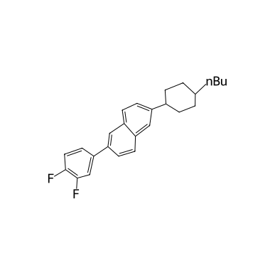 CCCCC1CCC(c2ccc3cc(-c4ccc(F)c(F)c4)ccc3c2)CC1